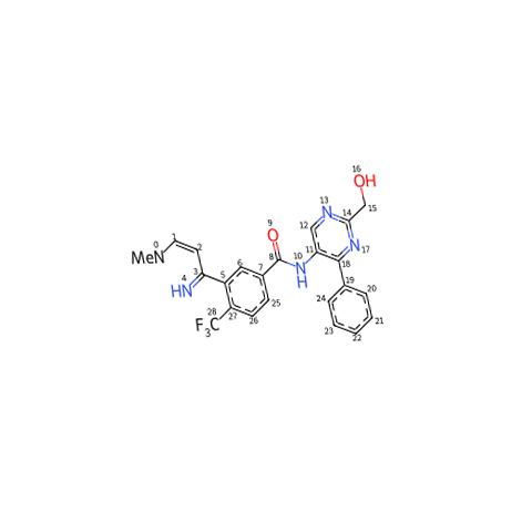 CN/C=C\C(=N)c1cc(C(=O)Nc2cnc(CO)nc2-c2ccccc2)ccc1C(F)(F)F